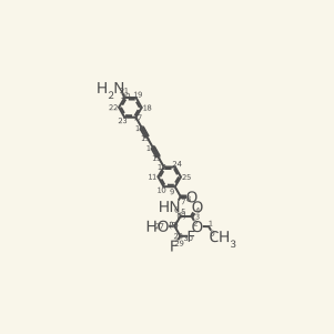 CCOC(=O)[C@@H](NC(=O)c1ccc(C#CC#Cc2ccc(N)cc2)cc1)[C@H](O)C(F)F